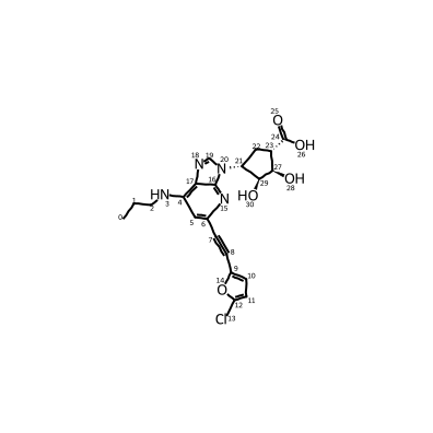 CCCNc1cc(C#Cc2ccc(Cl)o2)nc2c1ncn2[C@@H]1C[C@H](C(=O)O)[C@@H](O)[C@H]1O